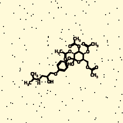 CC(=O)OC[C@H]1O[C@](O)(Oc2ccc(OCC(O)CNC(C)C)cc2)[C@H](OC(C)=O)[C@@H](OC(C)=O)[C@@H]1OC(C)=O